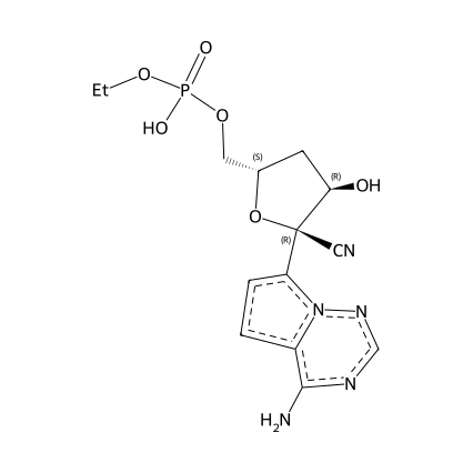 CCOP(=O)(O)OC[C@@H]1C[C@@H](O)[C@](C#N)(c2ccc3c(N)ncnn23)O1